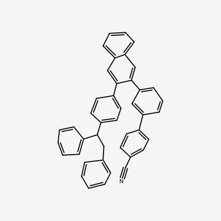 N#Cc1ccc(-c2cccc(-c3cc4ccccc4cc3-c3ccc(C(Cc4ccccc4)c4ccccc4)cc3)c2)cc1